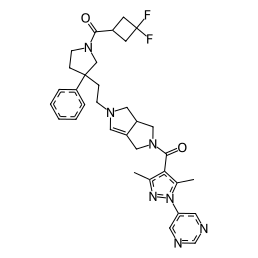 Cc1nn(-c2cncnc2)c(C)c1C(=O)N1CC2=CN(CCC3(c4ccccc4)CCN(C(=O)C4CC(F)(F)C4)C3)CC2C1